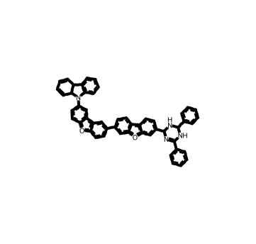 C1=CC2c3ccccc3N(c3ccc4oc5ccc(-c6ccc7c(c6)oc6cc(C8N=C(c9ccccc9)NC(c9ccccc9)N8)ccc67)cc5c4c3)C2C=C1